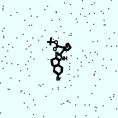 CC(C)(C)OC(=O)N1CC2CCC1(c1nc3ccc4cc(Br)ccc4c3[nH]1)CC2